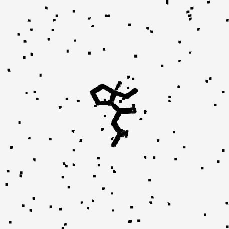 CC[C@]1(C)CCCN1C(=O)CNC